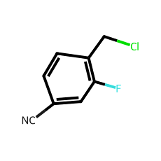 N#Cc1ccc(CCl)c(F)c1